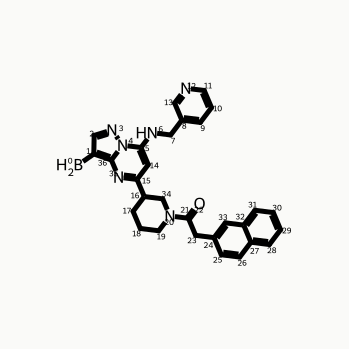 Bc1cnn2c(NCc3cccnc3)cc(C3CCCN(C(=O)Cc4ccc5ccccc5c4)C3)nc12